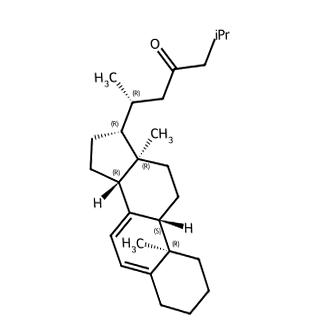 CC(C)CC(=O)C[C@@H](C)[C@H]1CC[C@H]2C3=CC=C4CCCC[C@]4(C)[C@H]3CC[C@]12C